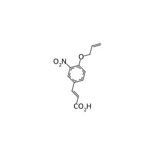 C=CCOc1ccc(/C=C/C(=O)O)cc1[N+](=O)[O-]